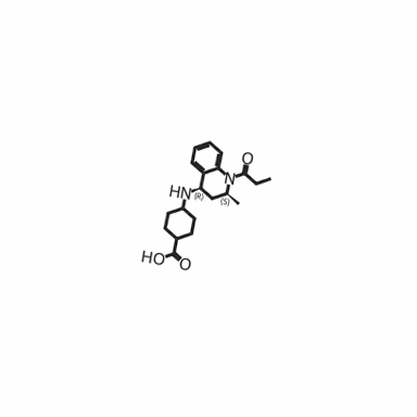 CCC(=O)N1c2ccccc2[C@H](NC2CCC(C(=O)O)CC2)C[C@@H]1C